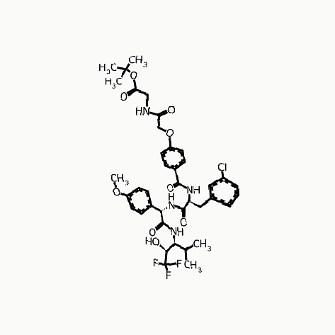 COc1ccc([C@H](NC(=O)[C@H](Cc2cccc(Cl)c2)NC(=O)c2ccc(OCC(=O)NCC(=O)OC(C)(C)C)cc2)C(=O)N[C@@H](C(C)C)[C@H](O)C(F)(F)F)cc1